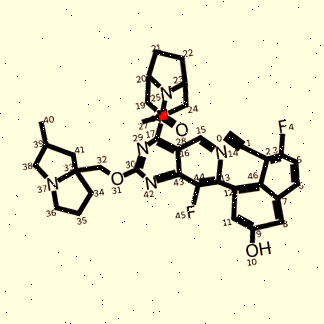 C#Cc1c(F)ccc2cc(O)cc(-c3ncc4c(N5CC6CCC(C5)N6C(C)=O)nc(OCC56CCCN5CC(C)C6)nc4c3F)c12